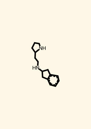 c1ccc2c(c1)CC(NCCC1CCCN1)C2